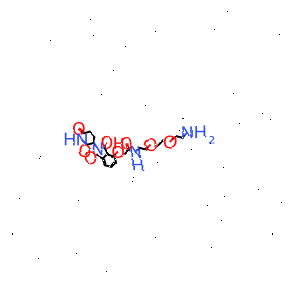 NCCOCCOCCNC(=O)COc1cccc2c1C(O)N(C1CCC(=O)NC1=O)C2=O